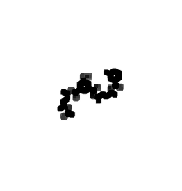 CC(=O)OC(C)/C=C/C(C)OC(=O)c1cc(O)cc(C(=O)OC(C)/C=C/C(C)OC(=O)c2cccc(C)c2)c1